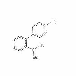 CC(C)(C)P(c1ccccc1-c1ccc(C(F)(F)F)cc1)C(C)(C)C